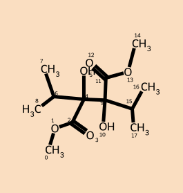 COC(=O)C(O)(C(C)C)C(O)(C(=O)OC)C(C)C